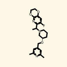 Cc1cc(CO[C@H]2CCCN(C(C)c3nc4c(cc3F)OCCO4)C2)cc(C)n1